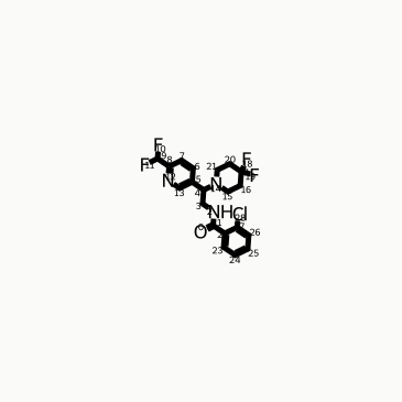 O=C(NCC(c1ccc(C(F)F)nc1)N1CCC(F)(F)CC1)c1ccccc1Cl